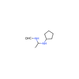 [CH2]C(NC=O)NC1CCCC1